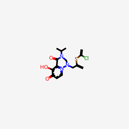 C=C(Cl)SC(=C)CN1CN(C(C)C)C(=O)c2c(O)c(=O)ccn21